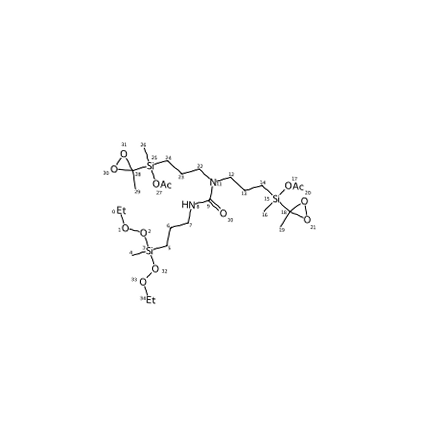 CCOO[Si](C)(CCCNC(=O)N(CCC[Si](C)(OC(C)=O)C1(C)OO1)CCC[Si](C)(OC(C)=O)C1(C)OO1)OOCC